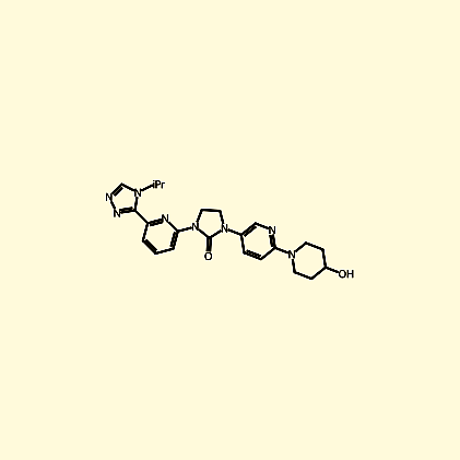 CC(C)n1cnnc1-c1cccc(N2CCN(c3ccc(N4CCC(O)CC4)nc3)C2=O)n1